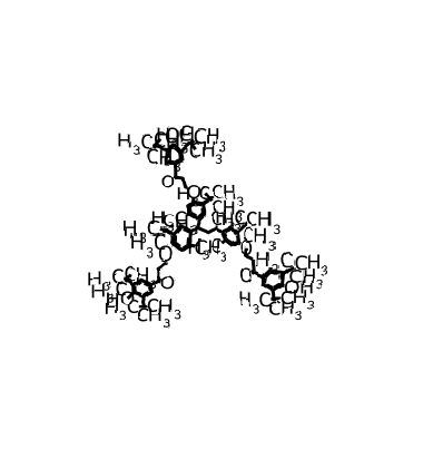 Cc1cc(OCCC(=O)c2cc(C(C)(C)C)c(O)c(C(C)(C)C)c2)c(C(C)(C)C)cc1C(C)CC(c1cc(C(C)(C)C)c(OCCC(=O)c2cc(C(C)(C)C)c(O)c(C(C)(C)C)c2)cc1C)c1cc(C(C)(C)C)c(OCCC(=O)c2cc(C(C)(C)C)c(O)c(C(C)(C)C)c2)cc1C